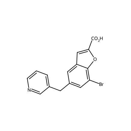 O=C(O)c1cc2cc(Cc3cccnc3)cc(Br)c2o1